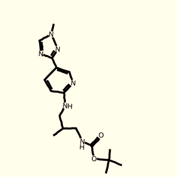 CC(CNC(=O)OC(C)(C)C)CNc1ccc(-c2ncn(C)n2)cn1